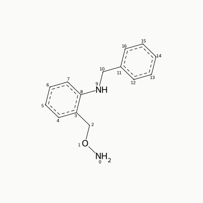 NOCc1ccccc1NCc1ccccc1